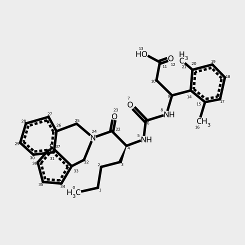 CCCC[C@H](NC(=O)NC(CC(=O)O)c1c(C)cccc1C)C(=O)N(Cc1ccccc1)Cc1cccs1